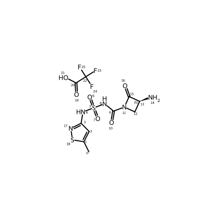 Cc1cc(NS(=O)(=O)NC(=O)N2C[C@H](N)C2=O)ns1.O=C(O)C(F)(F)F